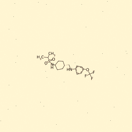 CC(C)S(=O)(=O)N[C@H]1CC[C@H](CNc2ccc(OC(F)(F)F)cc2)CC1